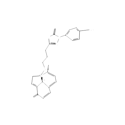 CCCc1ccc(-n2nc(CCCNN3CC=C4C(=O)C=CC5=CC=C(F)N[C@@]543)oc2=O)cc1